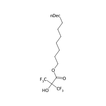 CCCCCCCCCCCCCCCCCOC(=O)C(O)(C(F)(F)F)C(F)(F)F